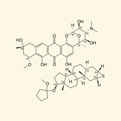 COC1(O[C@H]2CC[C@H]3[C@@H]4CC[C@H]5C[C@@H]6S[C@@H]6C[C@]5(C)[C@H]4CC[C@]23C)CCCC1.CO[C@@H]1C[C@](C)(O)Cc2cc3c(c(O)c21)C(=O)c1c(O)cc2c(c1C3=O)O[C@@H]1O[C@@]2(C)[C@H](O)[C@@H](N(C)C)[C@@H]1O